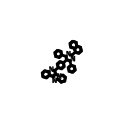 c1ccc(-c2nc(-c3cccc4ccccc34)nc(-c3ccccc3)c2-c2ccc(-c3nc4ccccc4c4nc5ccccn5c34)cc2)cc1